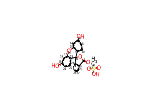 CS(=O)(=O)O.O=C1OC2(c3ccc(O)cc3Oc3cc(O)ccc32)c2ccccc21